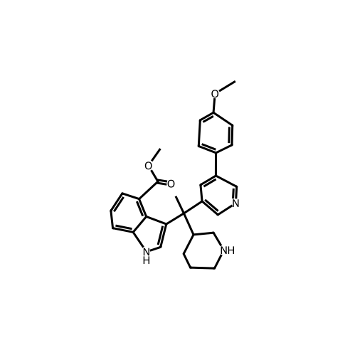 COC(=O)c1cccc2[nH]cc(C(C)(c3cncc(-c4ccc(OC)cc4)c3)C3CCCNC3)c12